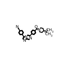 CN(C)C1CCN(C(=O)c2ccc(-c3cn4c(-c5ccc(C#N)cc5)cnc4cn3)cc2)CC1